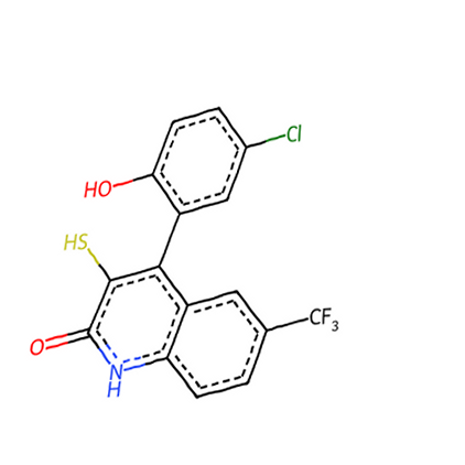 O=c1[nH]c2ccc(C(F)(F)F)cc2c(-c2cc(Cl)ccc2O)c1S